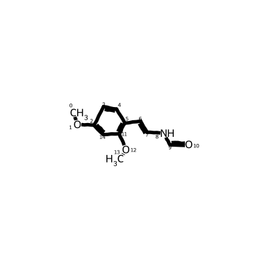 COc1ccc(C=CNC=O)c(OC)c1